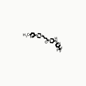 Cc1ccc(N2CCN(CCCC(=O)N3CCC(Nc4ccc(C(F)(F)F)cn4)CC3)CC2)cn1